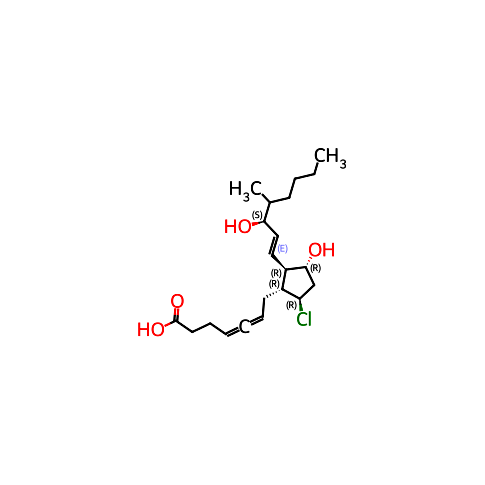 CCCCC(C)[C@H](O)/C=C/[C@@H]1[C@@H](CC=C=CCCC(=O)O)[C@H](Cl)C[C@H]1O